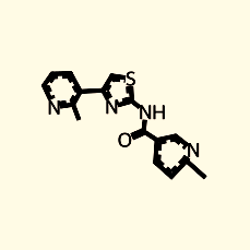 Cc1ccc(C(=O)Nc2nc(-c3cccnc3C)cs2)cn1